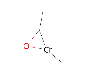 C[CH]1[O][Cr]1[CH3]